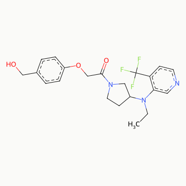 CCN(c1cnccc1C(F)(F)F)C1CCN(C(=O)COc2ccc(CO)cc2)C1